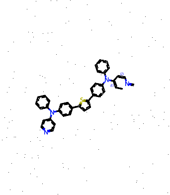 C=N/C=C\C(=C/C)N(c1ccccc1)c1ccc(-c2ccc(-c3ccc(N(c4ccccc4)c4ccncc4)cc3)s2)cc1